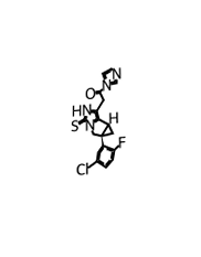 O=C(Cc1[nH]c(=S)n2c1[C@@H]1C[C@]1(c1cc(Cl)ccc1F)C2)n1ccnc1